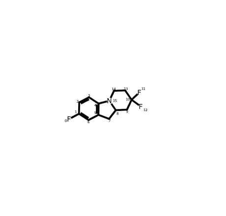 Fc1ccc2c(c1)CC1CC(F)(F)CCN21